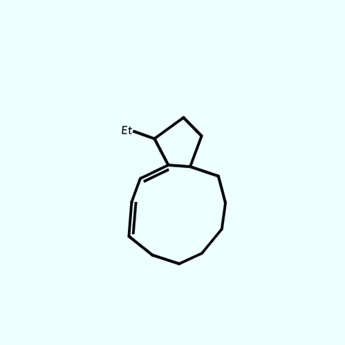 CCC1CCC2CCCCCCC=CC=C12